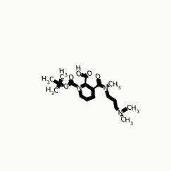 CN(C)CCCN(C)C(=O)[C@H]1CCCN(C(=O)OC(C)(C)C)[C@H]1C(=O)O